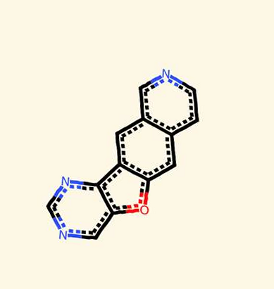 c1cc2cc3oc4cncnc4c3cc2cn1